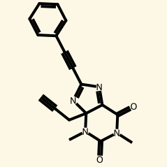 C#CCC12N=C(C#Cc3ccccc3)N=C1C(=O)N(C)C(=O)N2C